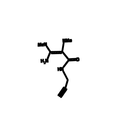 C#CCNC(=O)/C(NC)=C(\N)NC